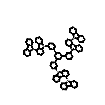 c1cc(-c2cc(-c3cccc(-n4c5ccccc5c5c(-n6c7ccccc7c7ccccc76)cccc54)c3)cc(-c3cccc(-n4c5ccccc5c5c(-n6c7ccccc7c7ccccc76)cccc54)c3)c2)cc(-n2c3ccccc3c3c(-n4c5ccccc5c5ccccc54)cccc32)c1